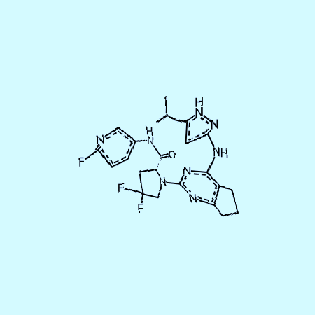 CC(C)c1cc(Nc2nc(N3CC(F)(F)C[C@@H]3C(=O)Nc3ccc(F)nc3)nc3c2CCC3)n[nH]1